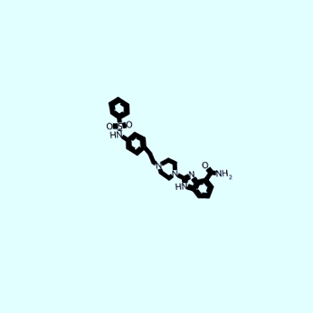 NC(=O)c1cccc2[nH]c(N3CCN(CCc4ccc(NS(=O)(=O)c5ccccc5)cc4)CC3)nc12